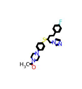 CC(=O)N1CCN(c2ccc(SC(CCc3ccc(F)cc3)Cn3ccnc3)cc2)CC1